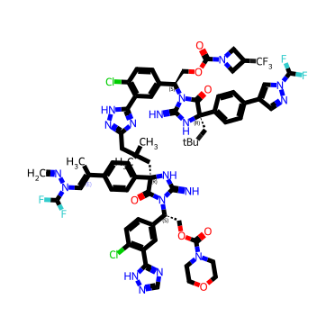 C=NN(/C=C(\C)c1ccc([C@@]2(CC(C)(C)Cc3n[nH]c(-c4cc([C@@H](COC(=O)N5CC(C(F)(F)F)C5)N5C(=N)N[C@](CC(C)(C)C)(c6ccc(-c7cnn(C(F)F)c7)cc6)C5=O)ccc4Cl)n3)NC(=N)N([C@H](COC(=O)N3CCOCC3)c3ccc(Cl)c(-c4ncn[nH]4)c3)C2=O)cc1)C(F)F